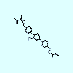 C=CC(=C)OCc1ccc(-c2ccc(-c3ccc(COC(=C)C(=C)C)cc3)c(F)c2)cc1